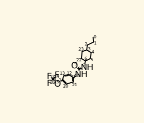 CCCC1CCC(NC(=O)Nc2ccc(OC(F)(F)F)cc2)CC1